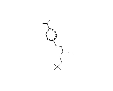 C[C@@H](C[C@H](C)c1ccc(C(N)=O)nc1)NCC(F)(F)F